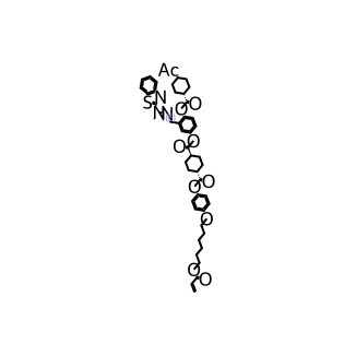 C=CC(=O)OCCCCCCOc1ccc(OC(=O)[C@H]2CC[C@H](C(=O)Oc3ccc(OC(=O)[C@H]4CC[C@H](C(C)=O)CC4)c(/C=N/N(C)c4nc5ccccc5s4)c3)CC2)cc1